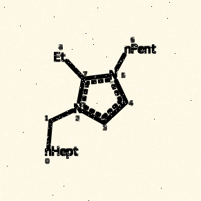 CCCCCCCC[n+]1ccn(CCCCC)c1CC